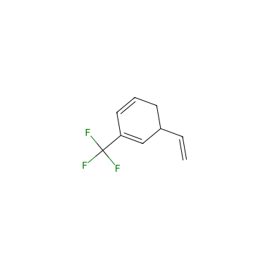 C=CC1C=C(C(F)(F)F)C=CC1